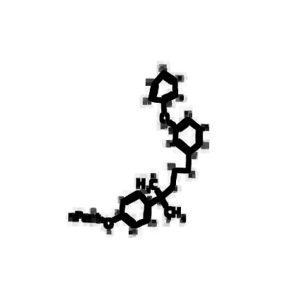 CCCCCOc1ccc(C(C)(C)CCCc2cccc(Oc3ccccc3)c2)cc1